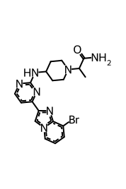 CC(C(N)=O)N1CCC(Nc2nccc(-c3cn4cccc(Br)c4n3)n2)CC1